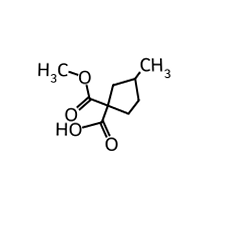 COC(=O)C1(C(=O)O)CCC(C)C1